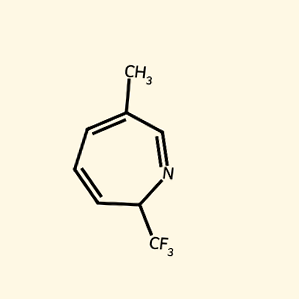 CC1=CC=CC(C(F)(F)F)N=C1